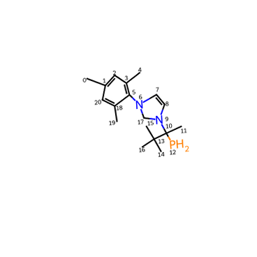 Cc1cc(C)c(N2C=CN(C(C)(P)C(C)(C)C)C2)c(C)c1